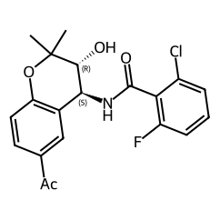 CC(=O)c1ccc2c(c1)[C@H](NC(=O)c1c(F)cccc1Cl)[C@@H](O)C(C)(C)O2